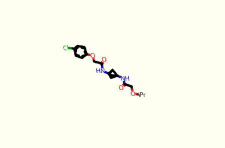 CC(C)OCC(=O)NC12CC(NC(=O)COc3ccc(Cl)cc3)(C1)C2